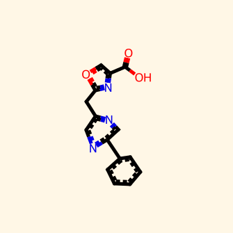 O=C(O)c1coc(Cc2cnc(-c3ccccc3)cn2)n1